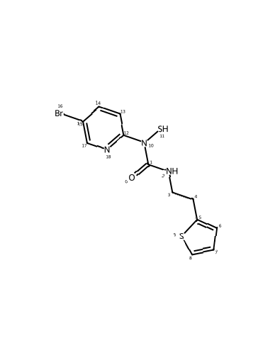 O=C(NCCc1cccs1)N(S)c1ccc(Br)cn1